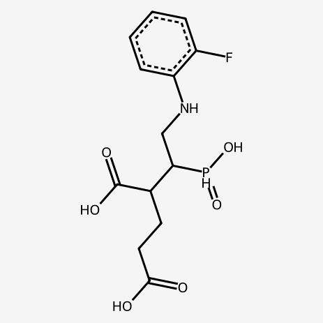 O=C(O)CCC(C(=O)O)C(CNc1ccccc1F)[PH](=O)O